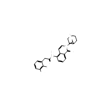 O=C(Cc1cccc(C(F)(F)F)c1F)Nc1cccc2c(=O)n(C3CN4CCC3CC4)ccc12